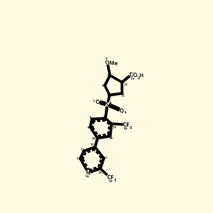 COC1CC(S(=O)(=O)c2ccc(-c3ccnc(C(F)(F)F)c3)cc2C(F)(F)F)CC1C(=O)O